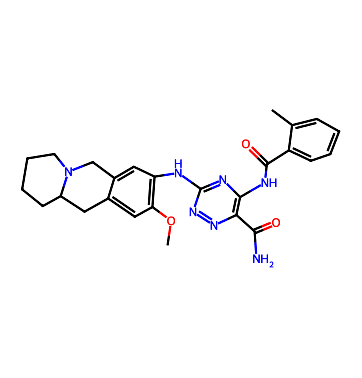 COc1cc2c(cc1Nc1nnc(C(N)=O)c(NC(=O)c3ccccc3C)n1)CN1CCCCC1C2